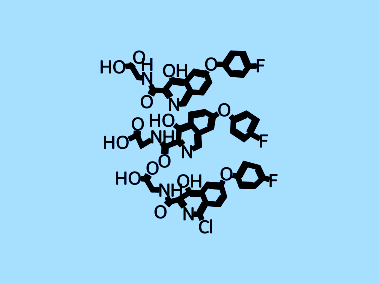 O=C(O)CNC(=O)c1nc(Cl)c2ccc(Oc3ccc(F)cc3)cc2c1O.O=C(O)CNC(=O)c1ncc2cc(Oc3ccc(F)cc3)ccc2c1O.O=C(O)CNC(=O)c1ncc2ccc(Oc3ccc(F)cc3)cc2c1O